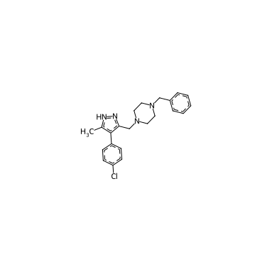 Cc1[nH]nc(CN2CCN(Cc3ccccc3)CC2)c1-c1ccc(Cl)cc1